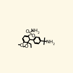 CCC1(OC)C(OC)=CC=C(S(N)(=O)=O)C1c1ccc(C(C)(C)N)cc1